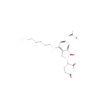 NCCCCCNc1cccc2c1CN(C1CCC(=O)NC1=O)C2=O.O=C(O)C(F)(F)F